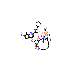 COc1ccc2c(O[C@@H]3C[C@H]4C(=O)N[C@]5(C(=O)NS(=O)(=O)C6CC6)C[C@@H]5/C=C\CCCCN(C)C(=O)[C@@H]4C3)cc(-c3csc(C4CCCCC4)n3)nc2c1C